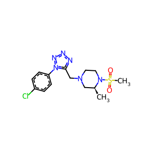 C[C@H]1CN(Cc2nnnn2-c2ccc(Cl)cc2)CCN1S(C)(=O)=O